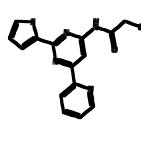 O=C(CCl)Nc1cc(-c2ccccn2)nc(-c2cccs2)n1